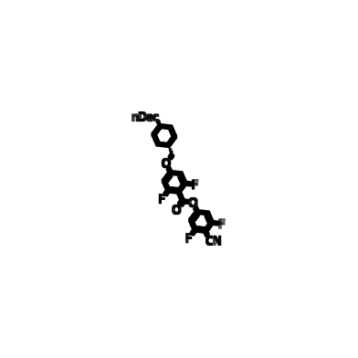 CCCCCCCCCC[C@H]1CC[C@H](COc2cc(F)c(C(=O)Oc3cc(F)c(C#N)c(F)c3)c(F)c2)CC1